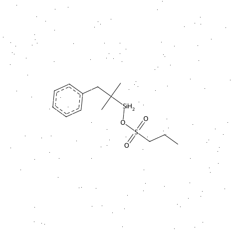 CCCS(=O)(=O)O[SiH2]C(C)(C)Cc1ccccc1